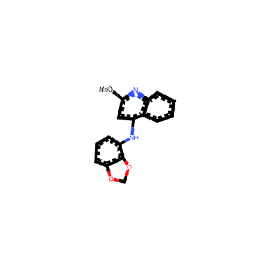 COc1cc(Nc2cccc3c2OCO3)c2ccccc2n1